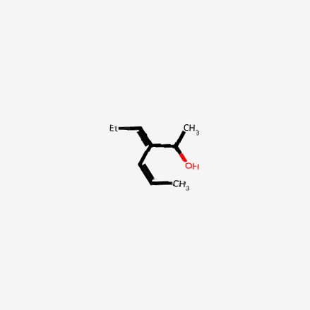 C/C=C\C(=C/CC)C(C)O